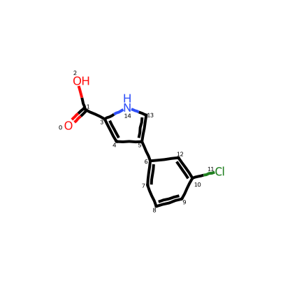 O=C(O)c1cc(-c2cccc(Cl)c2)c[nH]1